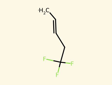 [CH2]/C=C/CC(F)(F)F